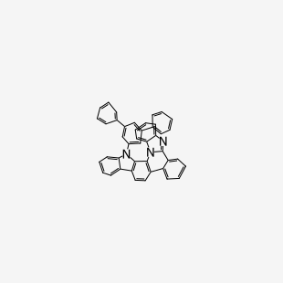 c1ccc(-c2cc(-c3ccccc3)cc(-n3c4ccccc4c4ccc5c6ccccc6c6nc7ccccc7n6c5c43)c2)cc1